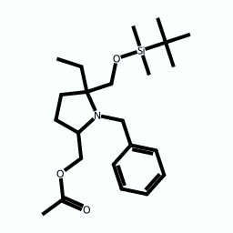 CCC1(CO[Si](C)(C)C(C)(C)C)CCC(COC(C)=O)N1Cc1ccccc1